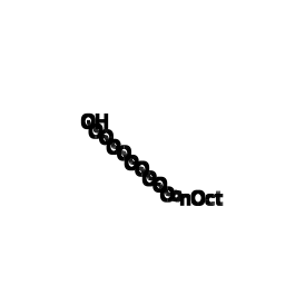 CCCCCCCCc1ccc(OCCOCCOCCOCCOCCOCCOCCOCCOCCO)cc1